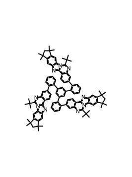 CC(C)(C)c1nc2cc(-c3ccccc3-c3cc(-c4ccccc4-c4ccc5c(c4)nc(C(C)(C)C)n4c6cc7c(cc6nc54)C(C)(C)CC7(C)C)cc(-c4ccccc4-c4ccc5c(c4)nc(C(C)(C)C)n4c6cc7c(cc6nc54)C(C)(C)CC7(C)C)c3)ccc2c2nc3cc4c(cc3n12)C(C)(C)CC4(C)C